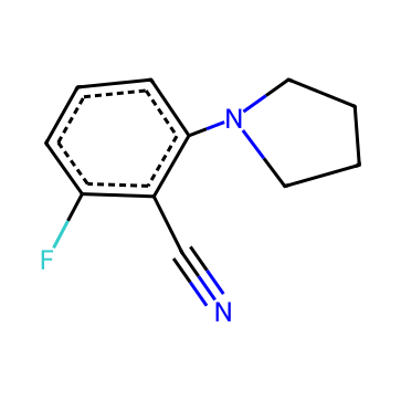 N#Cc1c(F)cccc1N1CCCC1